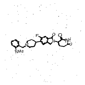 CNc1ccccc1CN1CCC(c2cc3c(cc2F)C(=O)N(C2CCC(=O)NC2=O)C3)CC1